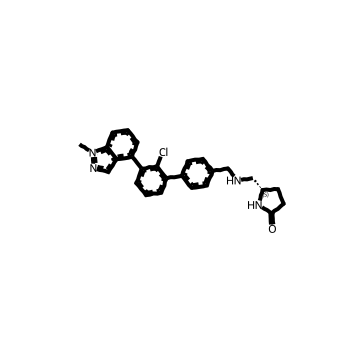 Cn1ncc2c(-c3cccc(-c4ccc(CNC[C@@H]5CCC(=O)N5)cc4)c3Cl)cccc21